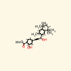 COC(=O)c1ccc(C#CC(O)c2cc3c(cc2C)C(C)(C)CCC3(C)C)cc1O